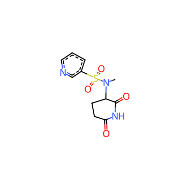 CN(C1CCC(=O)NC1=O)S(=O)(=O)c1cccnc1